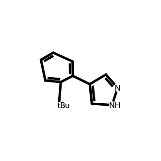 CC(C)(C)c1ccccc1-c1cn[nH]c1